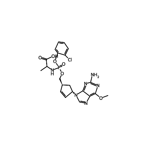 COc1nc(N)nc2c1ncn2[C@H]1C=C[C@@H](COP(=O)(NC(C)C(=O)O)Oc2ccccc2Cl)C1